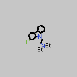 CCN(CC)CCn1c2ccccc2c2ccc(F)cc21